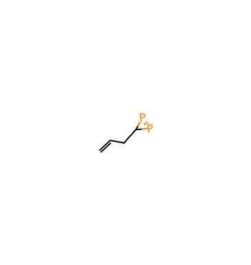 C=CCC1P=P1